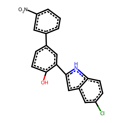 O=[N+]([O-])c1cccc(-c2ccc(O)c(-c3cc4cc(Cl)ccc4[nH]3)c2)c1